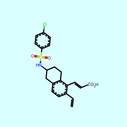 C=Cc1ccc2c(c1C=CC(=O)O)CCC(NS(=O)(=O)c1ccc(Cl)cc1)C2